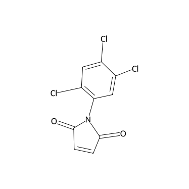 O=C1C=CC(=O)N1c1cc(Cl)c(Cl)cc1Cl